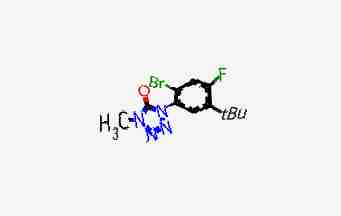 Cn1nnn(-c2cc(C(C)(C)C)c(F)cc2Br)c1=O